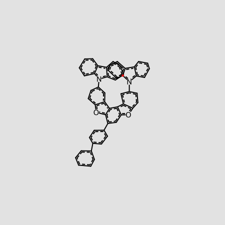 c1ccc(-c2ccc(-c3cc4oc5ccc(-n6c7ccccc7c7ccccc76)cc5c4c4c3oc3ccc(-n5c6ccccc6c6ccccc65)cc34)cc2)cc1